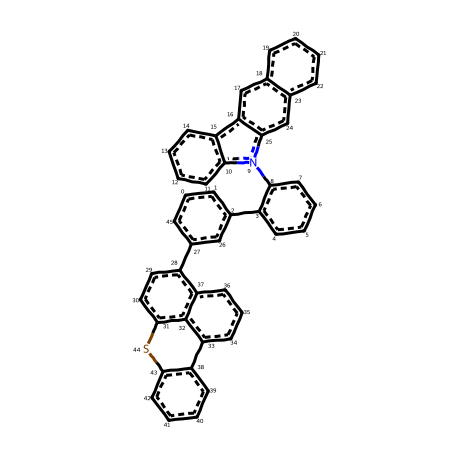 c1cc(-c2ccccc2-n2c3ccccc3c3cc4ccccc4cc32)cc(-c2ccc3c4c(cccc24)-c2ccccc2S3)c1